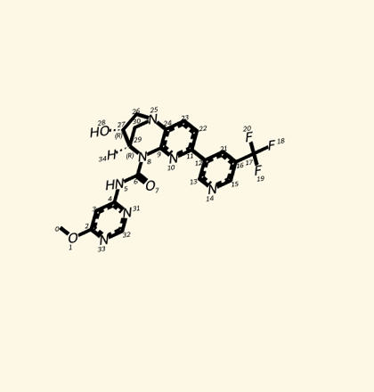 COc1cc(NC(=O)N2c3nc(-c4cncc(C(F)(F)F)c4)ccc3N3C[C@@H](O)[C@H]2C3)ncn1